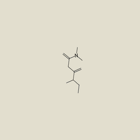 C=C(CC(=C)N(C)C)C(C)CC